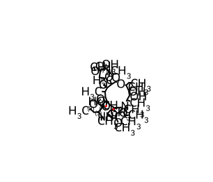 CCC1OC(=O)C(C)C(O[C@H]2C[C@@](C)(OC)[C@@H](O)[C@H](C)O2)C(C)C(O[C@@H]2O[C@H](C)C[C@H](NC)[C@H]2Oc2ccc(OC)c(OC(C)C)c2)C(C)(O)CC(C)CN(C)C(C)C(O)C1(C)O